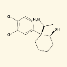 CC(N)[C@]1(c2ccc(Cl)c(Cl)c2)CCCC[C@@H]1O